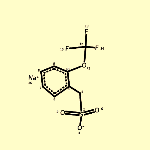 O=S(=O)([O-])Cc1ccccc1OC(F)(F)F.[Na+]